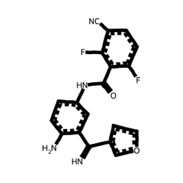 N#Cc1ccc(F)c(C(=O)Nc2ccc(N)c(C(=N)c3ccoc3)c2)c1F